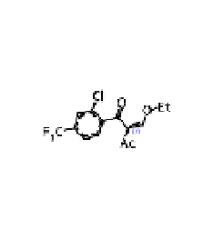 CCO/C=C(/C(C)=O)C(=O)c1ccc(C(F)(F)F)cc1Cl